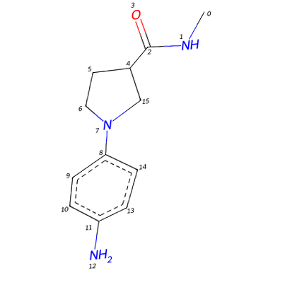 CNC(=O)C1CCN(c2ccc(N)cc2)C1